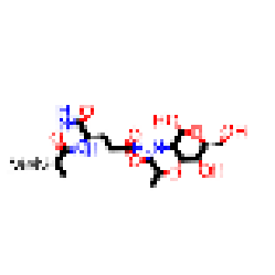 CN[C@@H](C)C(=O)N[C@H](CCC(=O)OCC(C)O[C@@H]1[C@@H](N)[C@@H](O)O[C@H](CO)[C@H]1O)C(N)=O